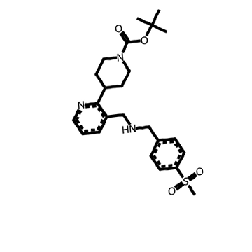 CC(C)(C)OC(=O)N1CCC(c2ncccc2CNCc2ccc(S(C)(=O)=O)cc2)CC1